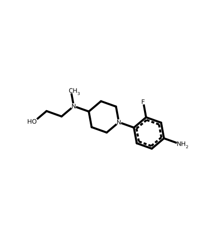 CN(CCO)C1CCN(c2ccc(N)cc2F)CC1